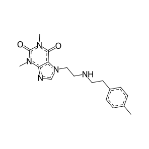 Cc1ccc(CCNCCn2cnc3c2c(=O)n(C)c(=O)n3C)cc1